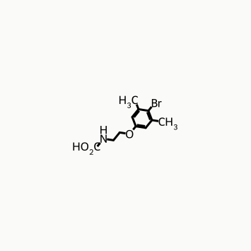 Cc1cc(OCCNC(=O)O)cc(C)c1Br